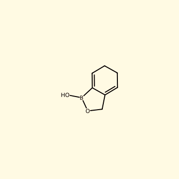 OB1OCC2=CCCC=C12